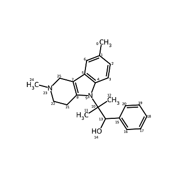 Cc1ccc2c(c1)c1c(n2C(C)(C)C(O)c2ccccc2)CCN(C)C1